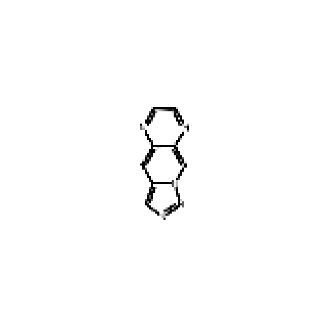 c1cnc2cn3nncc3cc2n1